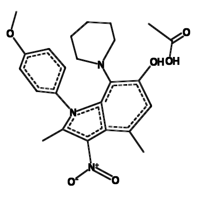 CC(=O)O.COc1ccc(-n2c(C)c([N+](=O)[O-])c3c(C)cc(O)c(N4CCCCC4)c32)cc1